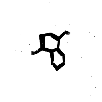 CC(C)c1ccc(Br)c2ncccc12